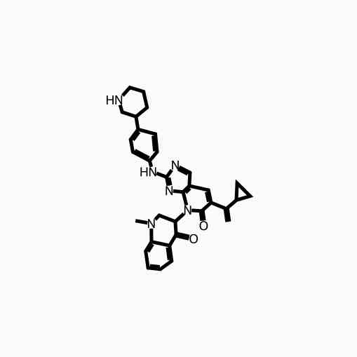 C=C(c1cc2cnc(Nc3ccc(C4CCCNC4)cc3)nc2n(C2CN(C)c3ccccc3C2=O)c1=O)C1CC1